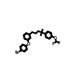 CC(C)(CCCc1cccc(Oc2ccc(Br)cc2)c1)c1ccc(OC(F)F)cc1